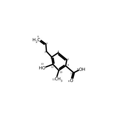 C=CCc1ccc(C(=O)O)c(C)c1O